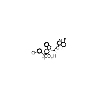 C[C@@H](COc1ccnc2c1[C@@H](C)CC[C@@H]2F)C[C@H]1Cc2ccccc2C12CCC(Nc1cccc(Cl)c1)(C(=O)O)CC2